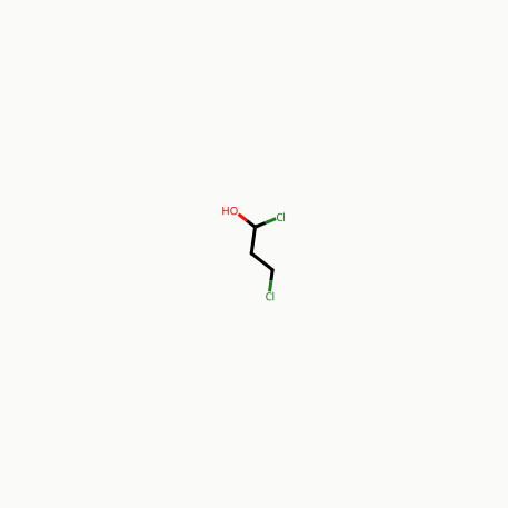 OC(Cl)CCCl